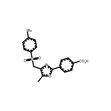 Cc1oc(-c2ccc(C(=O)O)cc2)nc1CS(=O)(=O)c1ccc(C(C)(C)C)cc1